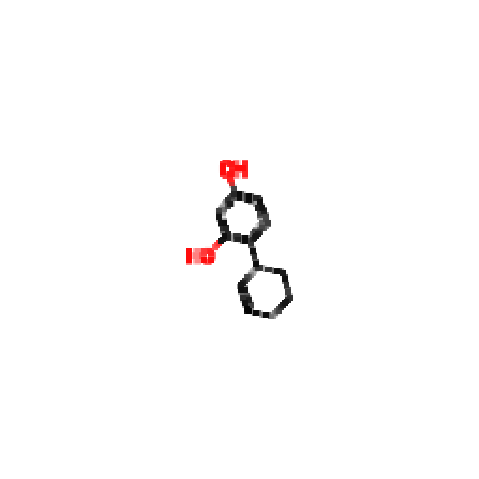 Oc1ccc(C2C=CCCC2)c(O)c1